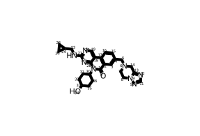 O=c1c2cc(CN3CCn4ncnc4C3)ccc2c2cnc(NCC3CC3)nc2n1C1CCC(O)CC1